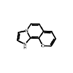 C1=COC2=C3NC=CN3C=CC2=C1